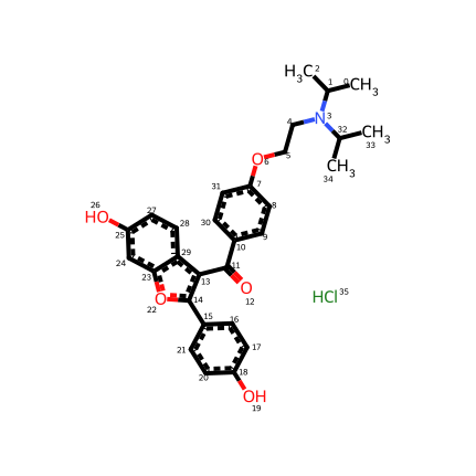 CC(C)N(CCOc1ccc(C(=O)c2c(-c3ccc(O)cc3)oc3cc(O)ccc23)cc1)C(C)C.Cl